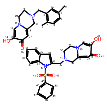 Cc1ccc(C)c(CN2CCn3cc(O)c(=O)cc3C2)c1.O=c1cc2n(cc1O)CCN(Cc1cc3ccccc3n1S(=O)(=O)c1ccccc1)C2